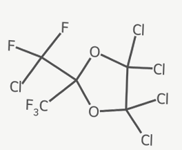 FC(F)(F)C1(C(F)(F)Cl)OC(Cl)(Cl)C(Cl)(Cl)O1